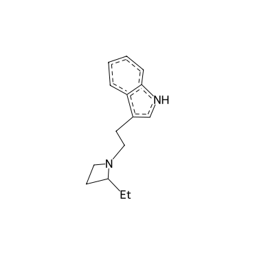 CCC1CCN1CCc1c[nH]c2ccccc12